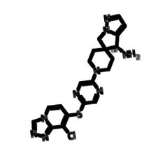 N[C@@H]1c2ccnn2CC12CCN(c1cnc(Sc3ccn4cnnc4c3Cl)cn1)CC2